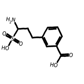 NC(CCc1cccc(C(=O)O)c1)S(=O)(=O)O